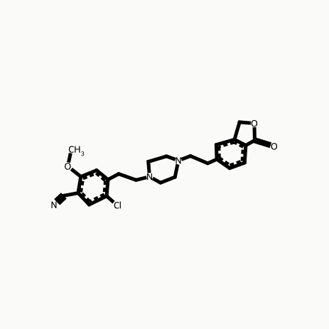 COc1cc(CCN2CCN(CCc3ccc4c(c3)COC4=O)CC2)c(Cl)cc1C#N